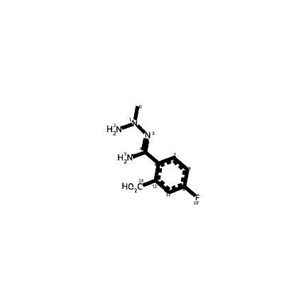 CN(N)/N=C(\N)c1ccc(F)cc1C(=O)O